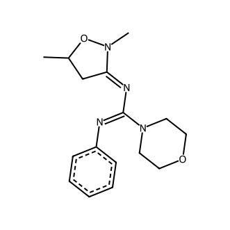 CC1C/C(=N\C(=N\c2ccccc2)N2CCOCC2)N(C)O1